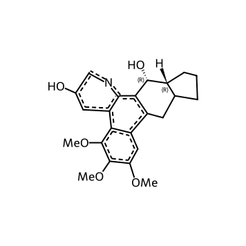 COc1cc2c3c(c4ncc(O)cc4c2c(OC)c1OC)[C@H](O)[C@@H]1CCCC1C3